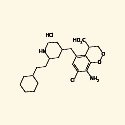 Cl.Nc1c(Cl)cc(CC2CCNC(CCC3CCCCC3)C2)c2c1OOCC2C(=O)O